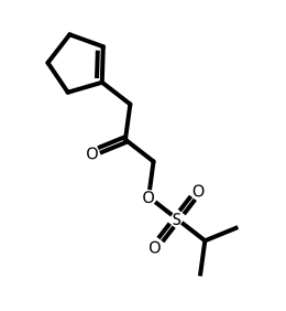 CC(C)S(=O)(=O)OCC(=O)CC1=CCCC1